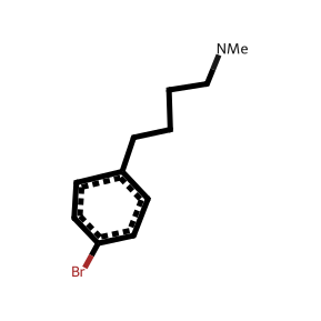 CNCCCCc1ccc(Br)cc1